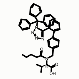 CCCCC(=O)N(Cc1ccc(-c2ccccc2-c2nnnn2C(c2ccccc2)(c2ccccc2)c2ccccc2)cc1)[C@@H](C(=O)O)C(C)C